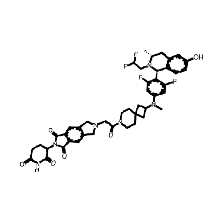 C[C@@H]1Cc2cc(O)ccc2[C@@H](c2c(F)cc(N(C)C3CC4(CCN(C(=O)CN5Cc6cc7c(cc6C5)C(=O)N(C5CCC(=O)NC5=O)C7=O)CC4)C3)cc2F)N1CC(F)F